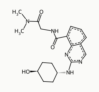 CN(C)C(=O)CNC(=O)c1cccc2cnc(N[C@H]3CC[C@H](O)CC3)nc12